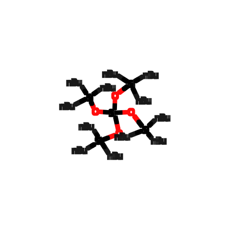 CCCC[Si](CCCC)(CCCC)O[Si](O[Si](CCCC)(CCCC)CCCC)(O[Si](CCCC)(CCCC)CCCC)O[Si](CCCC)(CCCC)CCCC